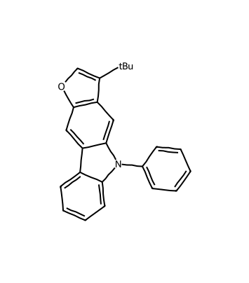 CC(C)(C)c1coc2cc3c4ccccc4n(-c4ccccc4)c3cc12